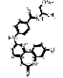 COCC(C)NC(=O)c1ccc(Nc2ncc3c(n2)-c2ccc(Cl)cc2NC(=O)C3)cc1